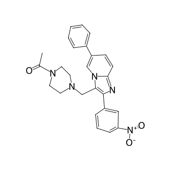 CC(=O)N1CCN(Cc2c(-c3cccc([N+](=O)[O-])c3)nc3ccc(-c4ccccc4)cn23)CC1